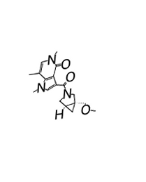 COC[C@]12C[C@H]1CN(C(=O)c1cn(C)c3c(C)cn(C)c(=O)c13)C2